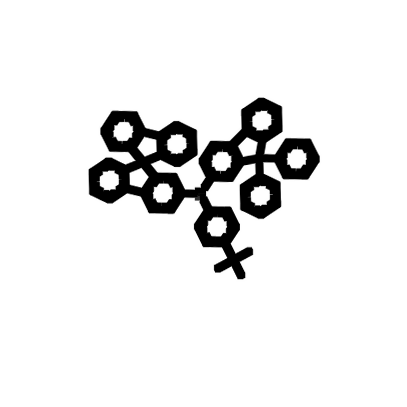 CC(C)(C)c1ccc(N(c2ccc3c(c2)C(c2ccccc2)(c2ccccc2)c2ccccc2-3)c2ccc3c(c2)C2(c4ccccc4-c4ccccc42)c2ccccc2-3)cc1